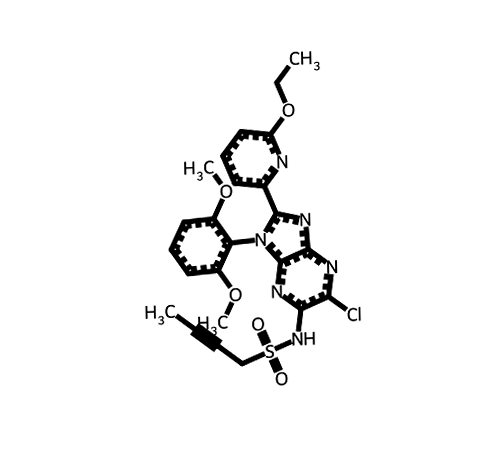 CC#CCS(=O)(=O)Nc1nc2c(nc1Cl)nc(-c1cccc(OCC)n1)n2-c1c(OC)cccc1OC